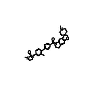 Cc1cc(N2CCN(C)C2=O)ccc1-c1ccc(C(=O)N2CCc3cc4c(cc32)C2(CCN(C)CC2)CO4)cc1